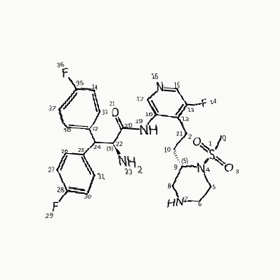 CS(=O)(=O)N1CCNC[C@@H]1CCc1c(F)cncc1NC(=O)[C@@H](N)C(c1ccc(F)cc1)c1ccc(F)cc1